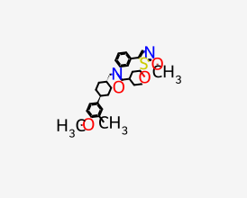 COc1ncc(-c2cccc(N(C[C@H]3CC[C@H](c4ccc(OC)c(C)c4)CC3)C(=O)C3CCOCC3)c2)s1